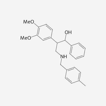 COc1ccc(C(CNCc2ccc(C)cc2)C(O)c2ccccc2)cc1OC